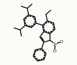 CCc1ccc2c(c1-c1cc(C(C)C)cc(C(C)C)c1)C=C(c1ccccc1)[CH]2[Zr]([Cl])[Cl]